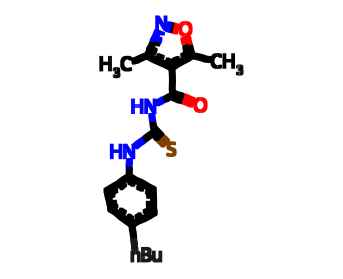 CCCCc1ccc(NC(=S)NC(=O)c2c(C)noc2C)cc1